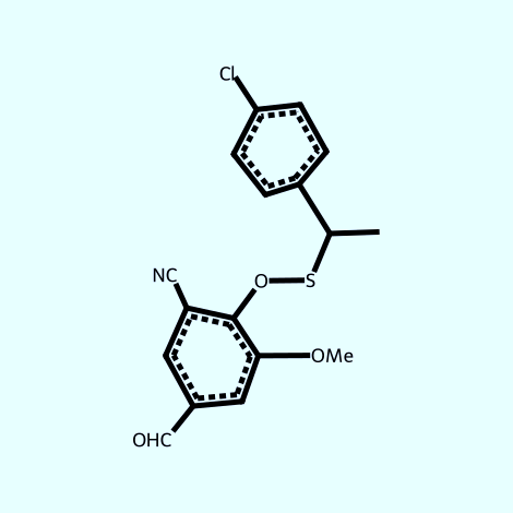 COc1cc(C=O)cc(C#N)c1OSC(C)c1ccc(Cl)cc1